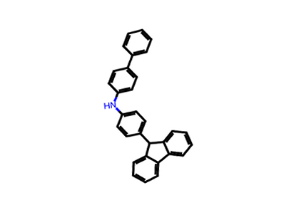 c1ccc(-c2ccc(Nc3ccc(C4c5ccccc5-c5ccccc54)cc3)cc2)cc1